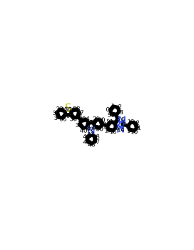 C1=CCCC(c2nc(C3C=CC=CC3)nc3ccc(-c4ccc5c6cc(-c7ccc8sc9ccccc9c8c7)ccc6n(-c6ccccc6)c5c4)cc23)=C1